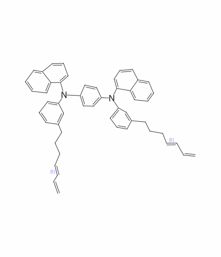 C=C/C=C/CCCc1cccc(N(c2ccc(N(c3cccc(CCC/C=C/C=C)c3)c3cccc4ccccc34)cc2)c2cccc3ccccc23)c1